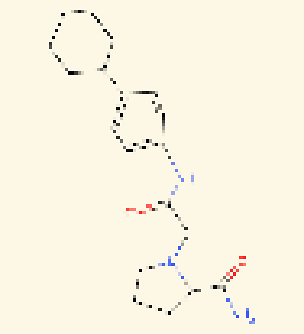 NC(=O)C1CCCN1CC(=O)Nc1ccc(C2CCCCC2)cc1